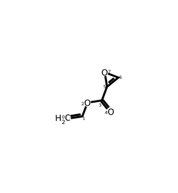 C=COC(=O)C1=CO1